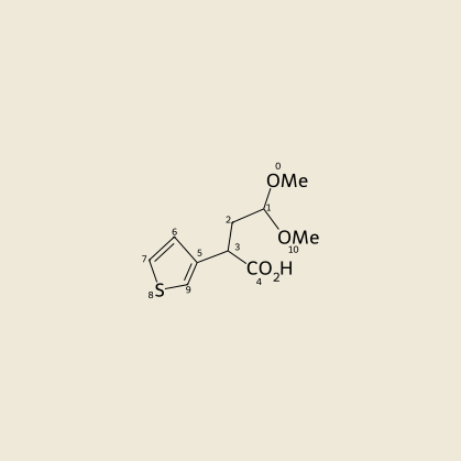 COC(CC(C(=O)O)c1ccsc1)OC